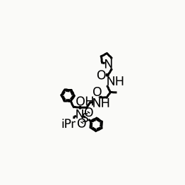 CC(C)CN(C(O)(CCNC(=O)CC(C)CNC(=O)CN1CCCC1)Cc1ccccc1)S(=O)(=O)c1ccccc1